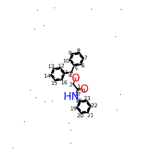 O=C(COC(c1ccccc1)c1ccccc1)Nc1ccccc1